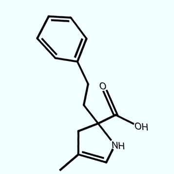 CC1=CNC(CCc2ccccc2)(C(=O)O)C1